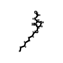 CCCCCCCCOC1CSC(SC=O)N1